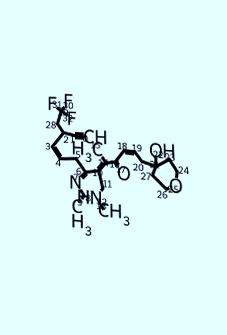 C#CC(/C=C\CC(=N/CC)/C(CNC)=C(\C)C(=O)/C=C\CC1(O)CCOCC1)CC(F)(F)F